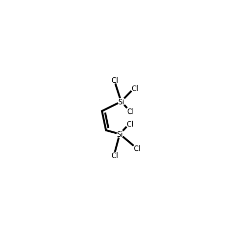 Cl[Si](Cl)(Cl)/C=C\[Si](Cl)(Cl)Cl